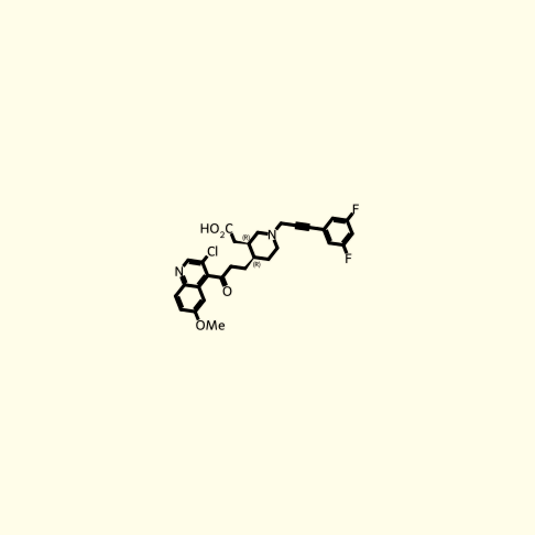 COc1ccc2ncc(Cl)c(C(=O)CC[C@@H]3CCN(CC#Cc4cc(F)cc(F)c4)C[C@@H]3CC(=O)O)c2c1